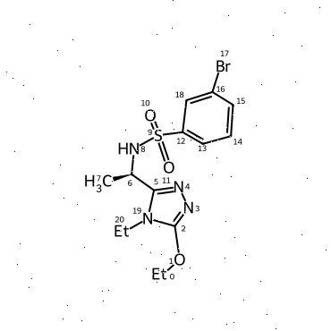 CCOc1nnc([C@@H](C)NS(=O)(=O)c2cccc(Br)c2)n1CC